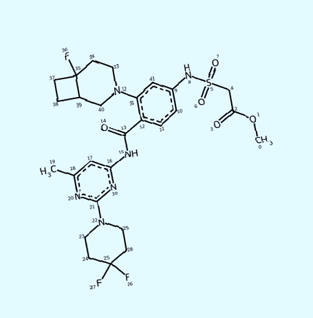 COC(=O)CS(=O)(=O)Nc1ccc(C(=O)Nc2cc(C)nc(N3CCC(F)(F)CC3)n2)c(N2CCC3(F)CCC3C2)c1